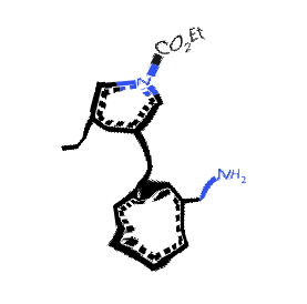 CCOC(=O)n1cc(C)c(-c2ccccc2N)c1